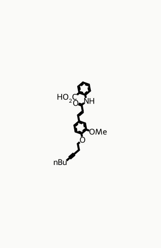 CCCCC#CCCOc1ccc(C=CC(=O)Nc2ccccc2C(=O)O)cc1OC